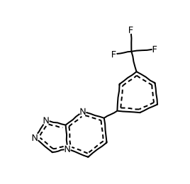 FC(F)(F)c1cccc(-c2ccn3cnnc3n2)c1